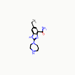 CCc1cc(C(N)=O)c2nc(N3CCCNCC3)[nH]c2c1